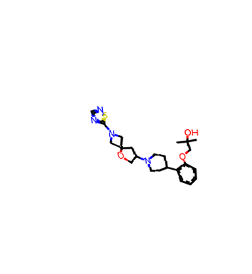 CC(C)(O)COc1ccccc1C1CCN(C2COC3(C2)CN(c2ncns2)C3)CC1